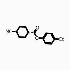 CCc1ccc(OC(=O)[C@H]2CC[C@H](C#N)CC2)cc1